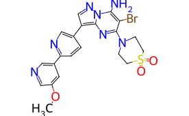 COc1cncc(-c2ccc(-c3cnn4c(N)c(Br)c(N5CCS(=O)(=O)CC5)nc34)cn2)c1